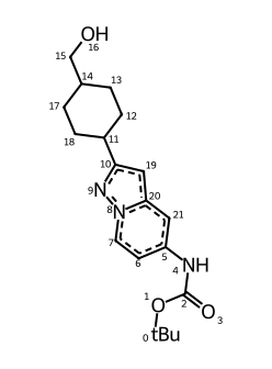 CC(C)(C)OC(=O)Nc1ccn2nc(C3CCC(CO)CC3)cc2c1